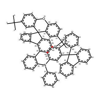 CC(C)(C)c1ccc2c(c1)C1(c3cc(C(C)(C)C)ccc3O2)c2ccccc2-c2c(-c3ccccc3N(c3ccccc3)c3ccc4c(c3)C3(c5ccccc5-c5ccccc53)c3ccccc3-4)cccc21